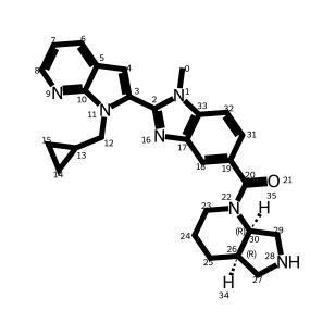 Cn1c(-c2cc3cccnc3n2CC2CC2)nc2cc(C(=O)N3CCC[C@@H]4CNC[C@@H]43)ccc21